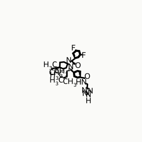 CCC(C)(C)C1CCC2(CC1)N=C(c1cc(F)cc(F)c1)C(=O)N2[C@H](CCC(C)(C)C)c1ccc(C(=O)NCc2nn[nH]n2)cc1